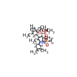 COC(=O)C(OC(C)(C)C)c1c(C)c(NS(=O)(=O)C2CC2)c(-c2ccc(C)c(C)c2)c(C)c1-c1ccc(C)c(C)c1